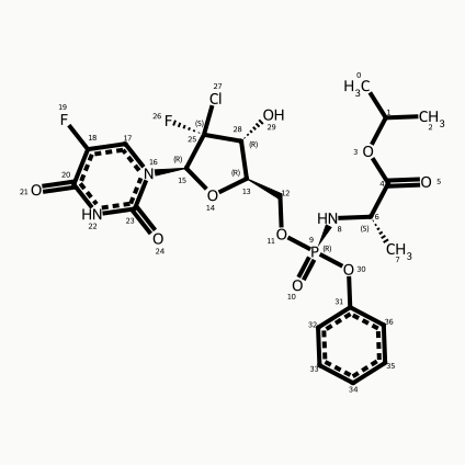 CC(C)OC(=O)[C@H](C)N[P@@](=O)(OC[C@H]1O[C@@H](n2cc(F)c(=O)[nH]c2=O)[C@@](F)(Cl)[C@@H]1O)Oc1ccccc1